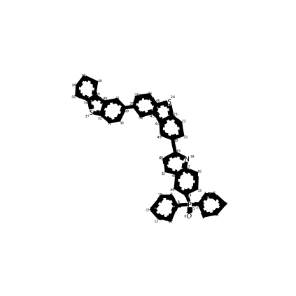 O=P(c1ccccc1)(c1ccccc1)c1ccc2nc(-c3ccc4sc5ccc(-c6ccc7sc8ccccc8c7c6)cc5c4c3)ccc2c1